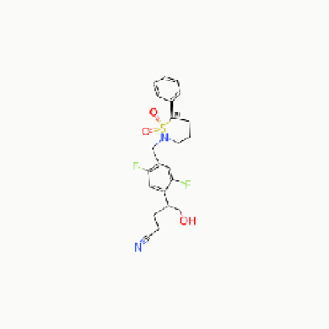 N#CCCC(CO)c1cc(F)c(CN2CCC[C@H](c3ccccc3)S2(=O)=O)cc1F